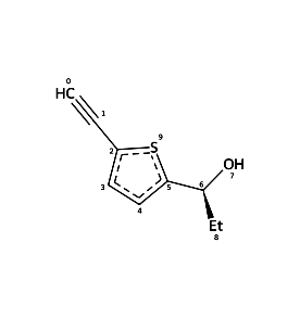 C#Cc1ccc([C@@H](O)CC)s1